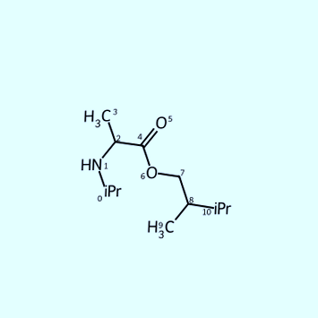 CC(C)NC(C)C(=O)OCC(C)C(C)C